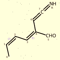 C/C=C\C=C(\C=O)C=C=N